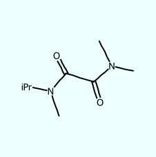 CC(C)N(C)C(=O)C(=O)N(C)C